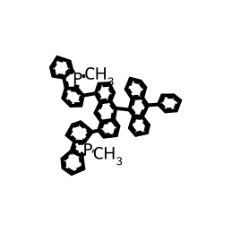 Cp1c2ccccc2c2cccc(-c3cccc4c(-c5c6ccccc6c(-c6ccccc6)c6ccccc56)c5cccc(-c6cccc7c8ccccc8p(C)c67)c5cc34)c21